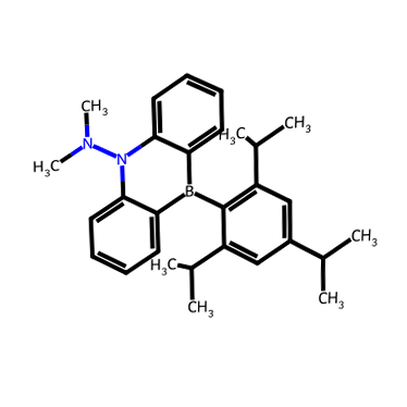 CC(C)c1cc(C(C)C)c(B2c3ccccc3N(N(C)C)c3ccccc32)c(C(C)C)c1